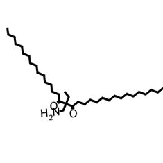 CCCCCCCCCCCCCCCC(=O)C(CC)(CN)C(=O)CCCCCCCCCCCCCCC